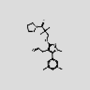 Cc1cc(C)cc(-c2c(CC=O)c(OCC(C)(C)C(=O)N3CCCC3)nn2C)c1